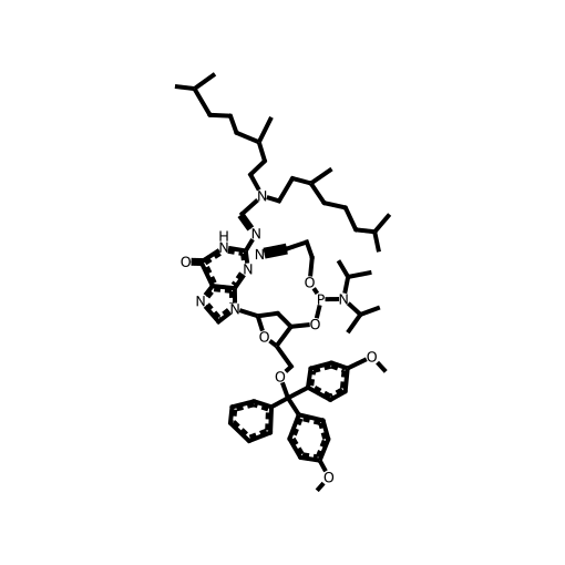 COc1ccc(C(OCC2OC(n3cnc4c(=O)[nH]c(/N=C/N(CCC(C)CCCC(C)C)CCC(C)CCCC(C)C)nc43)CC2OP(OCCC#N)N(C(C)C)C(C)C)(c2ccccc2)c2ccc(OC)cc2)cc1